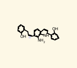 Nc1c(/C=C\Cc2ccccc2O)ccc2c1NC(c1ccccc1O)C=C2